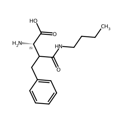 CCCCNC(=O)C(Cc1ccccc1)[C@H](N)C(=O)O